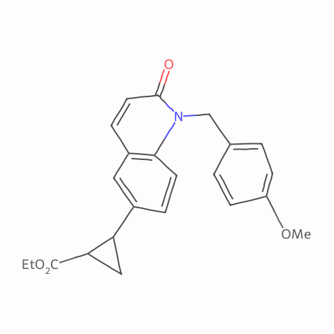 CCOC(=O)C1CC1c1ccc2c(ccc(=O)n2Cc2ccc(OC)cc2)c1